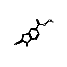 COC(=O)c1ccc2c(c1)CC(=O)N2